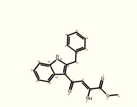 COC(=O)C(O)=CC(=O)c1c(Cc2ccccc2)[nH]c2ccccc12